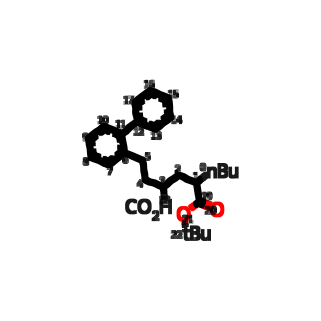 CCCCC(CC(CCc1ccccc1-c1ccccc1)C(=O)O)C(=O)OC(C)(C)C